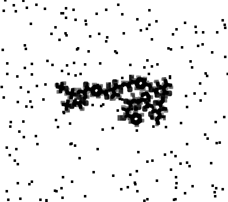 CC[C@H](C)C([C@@H](CC(=O)N1CCC[C@H]1[C@H](OC)[C@@H](C)C(=O)N[C@H](C)[C@@H](O)c1ccccc1)OC)N(C)C(=O)CNC(=O)C(C(C)C)N(C)C(=O)OCc1ccc(NC(=O)CNC(=O)C(NC(=O)c2ccc(C(=O)C(CSC(C)(C)COC(C)(C)C)CS(=O)(=O)C(C)COC(C)(C)C)cc2)C(C)C)cc1